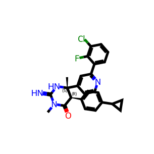 CN1C(=N)N[C@](C)(c2ccnc(-c3cccc(Cl)c3F)c2)[C@@H](c2ccc(C3CC3)cc2)C1=O